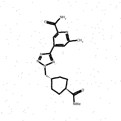 CNC(=O)[C@H]1CC[C@H](Cn2nnc(-c3cc(C)nc(C(N)=O)c3)n2)CC1